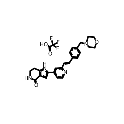 O=C(O)C(F)(F)F.O=C1NCCc2[nH]c(-c3ccnc(C=Cc4ccc(CN5CCOCC5)cc4)c3)cc21